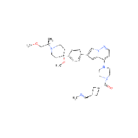 CN=C[C@H]1C[C@H](C(=O)N2CCN(c3ccnn4cc(-c5ccc(C6(OC)CCN([C@H](C)COC)CC6)cc5)cc34)CC2)C1